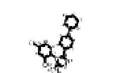 Cc1nnc(-c2ccc(-c3ccccc3)cc2)n1-c1ccc(Cl)cc1O